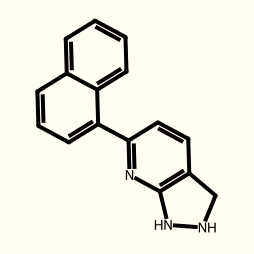 c1ccc2c(-c3ccc4c(n3)NNC4)cccc2c1